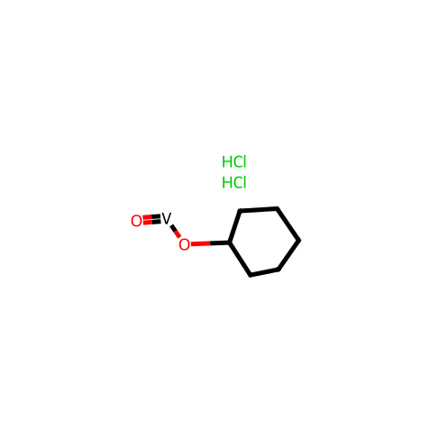 Cl.Cl.[O]=[V][O]C1CCCCC1